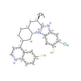 C[C@H](CC1CCC(c2ccnc3ccc(F)cc23)CC1)c1nc2cc(Cl)c(F)cc2[nH]1